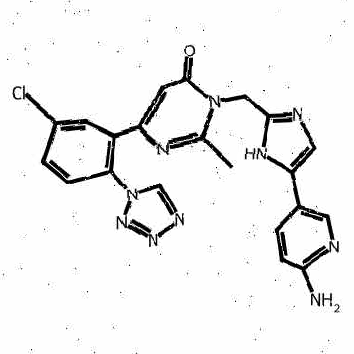 Cc1nc(-c2cc(Cl)ccc2-n2cnnn2)cc(=O)n1Cc1ncc(-c2ccc(N)nc2)[nH]1